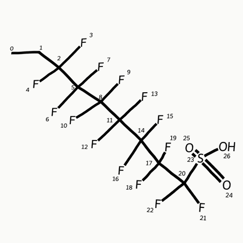 CCC(F)(F)C(F)(F)C(F)(F)C(F)(F)C(F)(F)C(F)(F)C(F)(F)S(=O)(=O)O